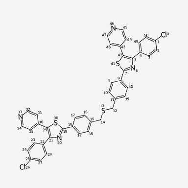 Clc1ccc(-c2nc(-c3ccc(CSCc4ccc(-c5nc(-c6ccc(Cl)cc6)c(-c6ccncc6)s5)cc4)cc3)sc2-c2ccncc2)cc1